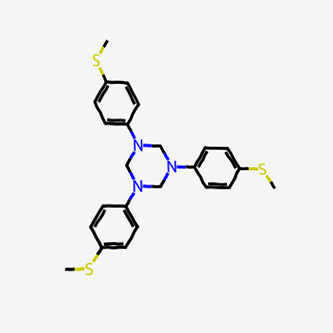 CSc1ccc(N2CN(c3ccc(SC)cc3)CN(c3ccc(SC)cc3)C2)cc1